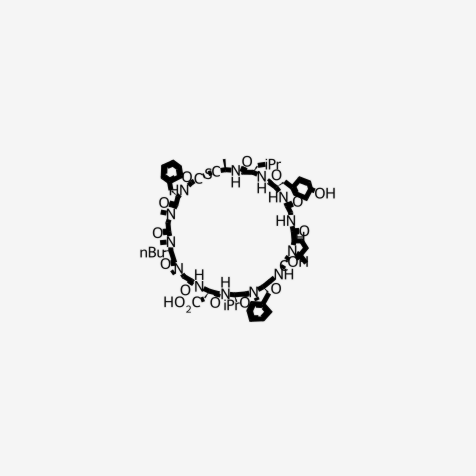 CCCC[C@H]1C(=O)N(C)CC(=O)N[C@@H](CC(=O)O)C(=O)N[C@@H](C(C)C)C(=O)N(C)[C@@H](Cc2ccccc2)C(=O)NCC(O)N2[C@H](CCC2(C)C)C(=O)NCC(=O)N[C@@H](CC2=CCC(O)C=C2)C(=O)N[C@@H](CC(C)C)C(=O)N[C@H](C)CSCC(=O)N[C@@H](Cc2ccccc2)C(=O)N(C)CC(=O)N1C